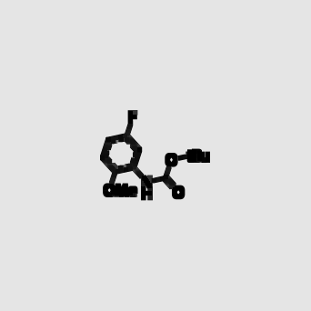 COc1ccc(F)cc1NC(=O)OC(C)(C)C